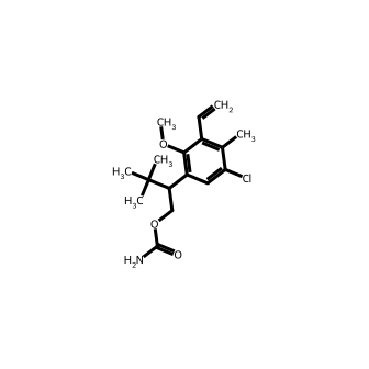 C=Cc1c(C)c(Cl)cc(C(COC(N)=O)C(C)(C)C)c1OC